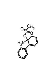 CS(=O)(=O)OC1(N)CC=CC=C1c1ccccc1